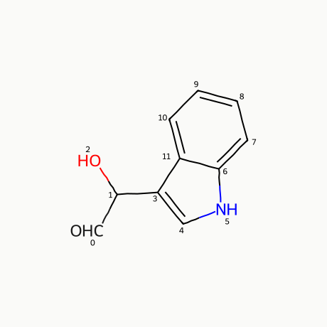 O=CC(O)c1c[nH]c2ccccc12